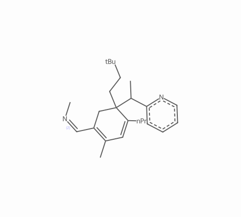 CCCC1=CC(C)=C(/C=N\C)CC1(CCC(C)(C)C)C(C)c1ccccn1